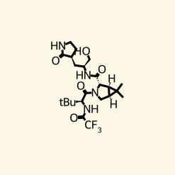 CC(C)(C)[C@H](NC(=O)C(F)(F)F)C(=O)N1C[C@H]2[C@@H]([C@H]1C(=O)N[C@H](CO)C[C@@H]1CCNC1=O)C2(C)C